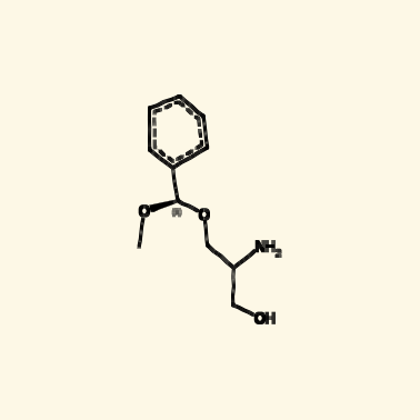 CO[C@H](OCC(N)CO)c1ccccc1